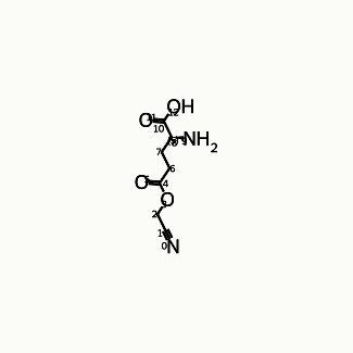 N#CCOC(=O)CC[C@H](N)C(=O)O